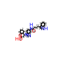 O=C(O)CC(c1ccccc1)n1cnc2cc(NC(=O)CCCc3c[nH]c4ccccc34)ccc21